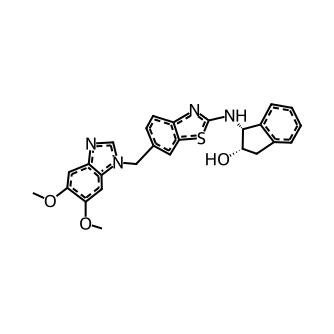 COc1cc2ncn(Cc3ccc4nc(N[C@@H]5c6ccccc6C[C@@H]5O)sc4c3)c2cc1OC